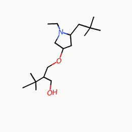 CCN1CC(OCC(CO)C(C)(C)C)CC1CC(C)(C)C